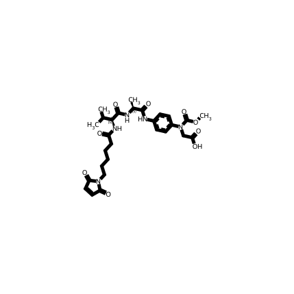 COC(=O)N(CC(=O)O)c1ccc(NC(=O)[C@H](C)NC(=O)[C@@H](NC(=O)CCCCCN2C(=O)C=CC2=O)C(C)C)cc1